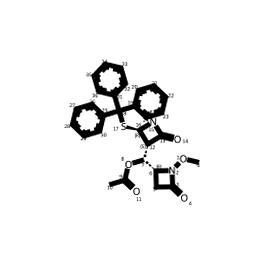 CON1C(=O)C[C@@H]1C(OC(C)=O)[C@H]1C(=O)N[C@@H]1SC(c1ccccc1)(c1ccccc1)c1ccccc1